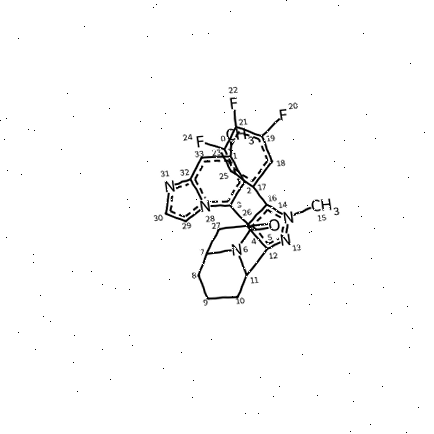 Cc1cc(C(=O)N2C3CCCC2c2nn(C)c(-c4cc(F)c(F)c(F)c4)c2C3)n2ccnc2c1